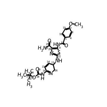 COc1ccc(C(=O)Nc2sc(NC3C=CC(NC(=O)OC(C)(C)C)=NC3)nc2C(N)=O)cc1